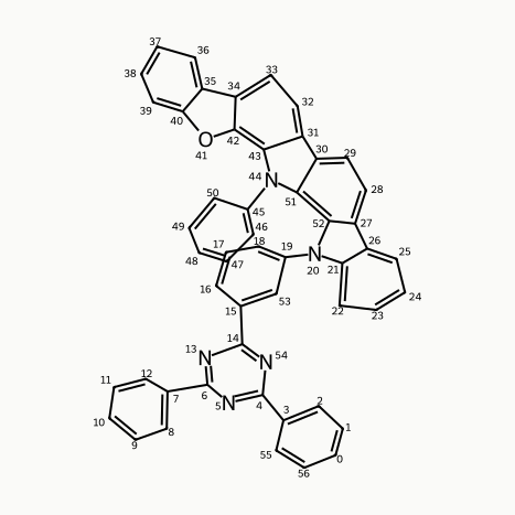 c1ccc(-c2nc(-c3ccccc3)nc(-c3cccc(-n4c5ccccc5c5ccc6c7ccc8c9ccccc9oc8c7n(-c7ccccc7)c6c54)c3)n2)cc1